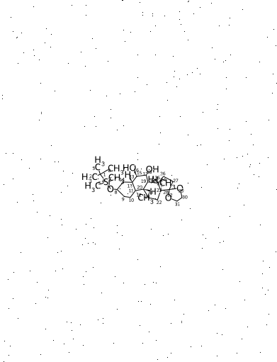 CC(C)(C)[Si](C)(C)OC1CC[C@@]2(C)[C@H](C1)[C@@H](O)[C@H](O)[C@@H]1[C@@H]2CC[C@@]2(C)[C@H]1CCC21OCCO1